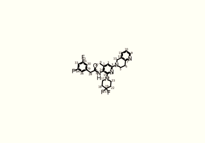 Cc1cc(N2CCc3ncccc3C2)nc(N2CCC(F)(F)CC2)c1NC(=O)Cc1cc(F)cc(F)c1